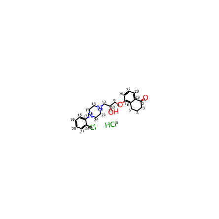 Cl.O=C1CCCc2c(OCC(O)CN3CCN(c4ccccc4Cl)CC3)cccc21